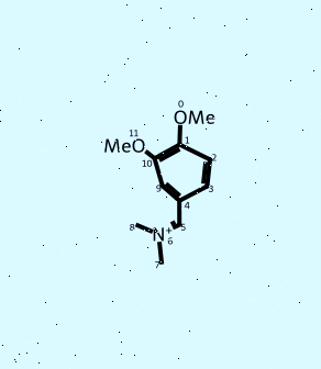 COc1ccc(C=[N+](C)C)cc1OC